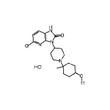 CCOC1CCC(C)(N2CCC(n3c(=O)[nH]c4ccc(Cl)nc43)CC2)CC1.Cl